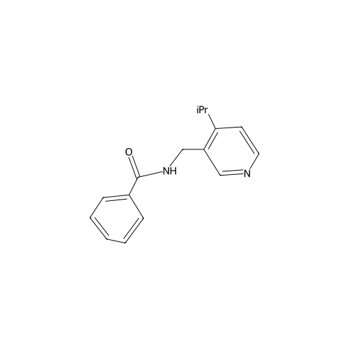 CC(C)c1ccncc1CNC(=O)c1ccccc1